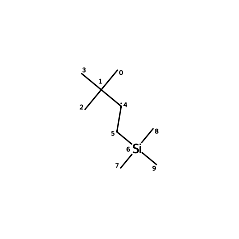 CC(C)(C)[CH]C[Si](C)(C)C